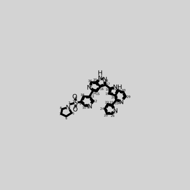 O=S(=O)(CN1CCCC1)c1cncc(-c2cc3c(-c4cc5c(-c6ccccn6)nccc5[nH]4)n[nH]c3cn2)c1